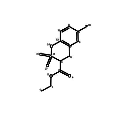 CCOC(=O)C1Cc2cc(F)ccc2OS1(=O)=O